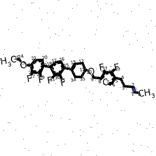 C/C=C/CCc1ccc(COC2CC=C(c3ccc(-c4ccc(OCC)c(F)c4F)c(F)c3F)CC2)c(F)c1F